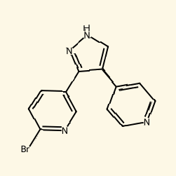 Brc1ccc(-c2n[nH]cc2-c2ccncc2)cn1